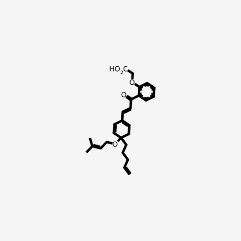 C=CCCCC1(OCC=C(C)C)C=CC(C=CC(=O)c2ccccc2OCC(=O)O)=CC1